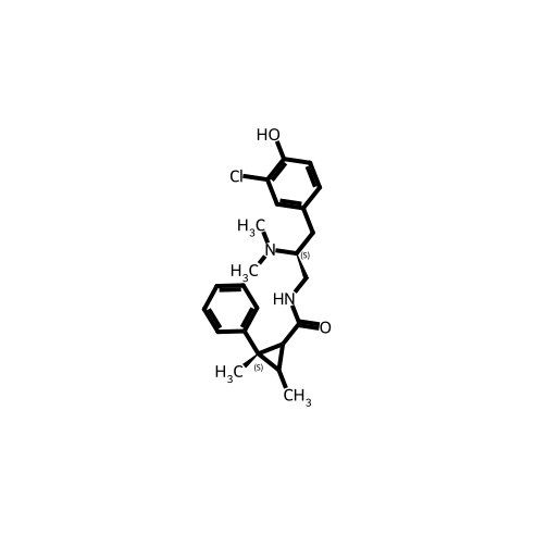 CC1C(C(=O)NC[C@H](Cc2ccc(O)c(Cl)c2)N(C)C)[C@@]1(C)c1ccccc1